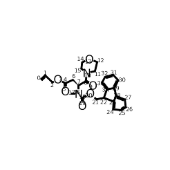 C=CCOC(=O)C[C@@H](C(=O)N1CCOCC1)N(C)C(=O)OCC1c2ccccc2-c2ccccc21